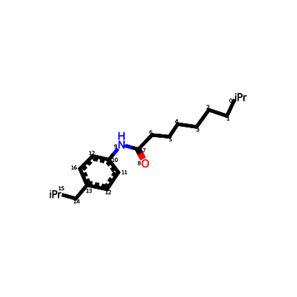 CC(C)CCCCCCC(=O)Nc1ccc(CC(C)C)cc1